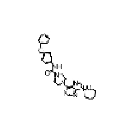 O=C(Nc1ccc(Oc2ccccc2)cc1)N1CCN(c2ncnc3c2ncn3C2CCCCO2)CC1